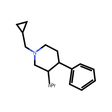 CCCC1CN(CC2CC2)CCC1c1ccccc1